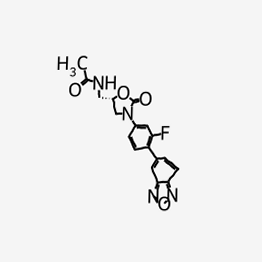 CC(=O)NC[C@H]1CN(c2ccc(-c3ccc4nonc4c3)c(F)c2)C(=O)O1